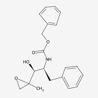 CC1([C@@H](O)[C@H](Cc2ccccc2)NC(=O)OCc2ccccc2)CO1